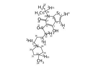 [2H]c1sc2c(c1[2H])c(O)c(C(=O)N([2H])C([2H])CC([2H])N1CCC([2H])(C)CC1)c(=O)n2C([2H])(C)C